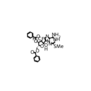 CS/C(I)=N/n1c(C2(O)O[C@H](COC(=O)c3ccccc3)[C@@H](OC(=O)c3ccccc3)[C@@]2(C)F)cnc1C(=N)N